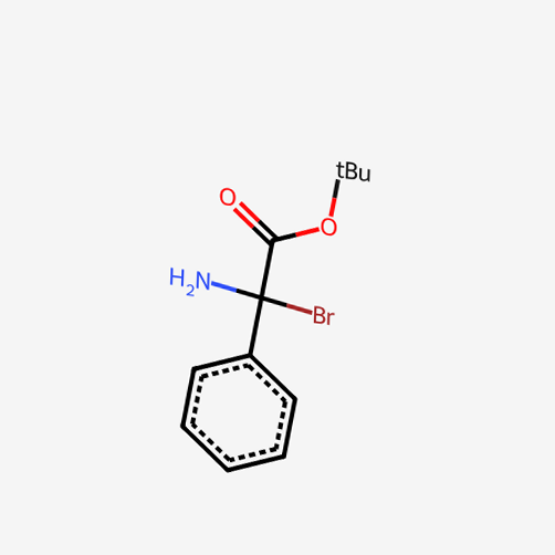 CC(C)(C)OC(=O)C(N)(Br)c1ccccc1